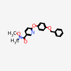 CON(C)C(=O)c1ccc(Oc2ccc(OCc3ccccc3)cc2)nc1